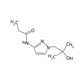 CCC(=O)Nc1ccn(CC(C)(C)O)n1